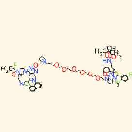 C=C(F)C(=O)N1CCN(c2nc(OC[C@@H]3CCCN3CCCOCCOCCOCCOCCOCCOCCN(C)C(=O)N3N=C(c4cc(F)ccc4F)S[C@@]3(CCCNC(=O)OC(C)(C)C)c3ccccc3)nc3c2CCN(c2cccc4cccc(Cl)c24)C3)C[C@@H]1CC#N